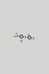 COCCN(CCOC)c1ccc(/N=N/c2ccc([N+](=O)[O-])cc2C#N)c(NC(C)=O)c1